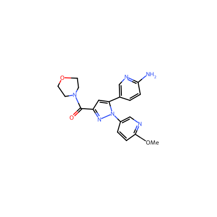 COc1ccc(-n2nc(C(=O)N3CCOCC3)cc2-c2ccc(N)nc2)cn1